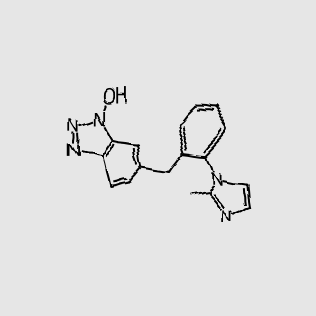 Cc1nccn1-c1ccccc1Cc1ccc2nnn(O)c2c1